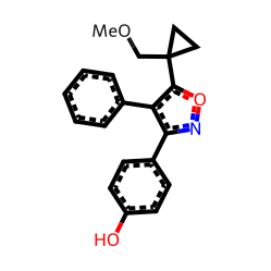 COCC1(c2onc(-c3ccc(O)cc3)c2-c2ccccc2)CC1